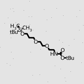 CC(C)(C)OC(=O)NCCOCCOCCCO[Si](C)(C)C(C)(C)C